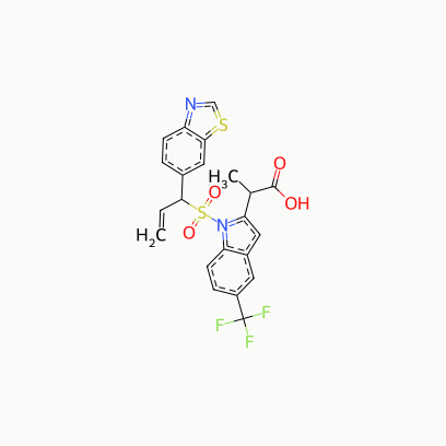 C=CC(c1ccc2ncsc2c1)S(=O)(=O)n1c(C(C)C(=O)O)cc2cc(C(F)(F)F)ccc21